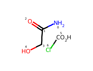 NC(=O)CO.O=C(O)Cl